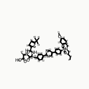 CCCCN(Cc1ccc(OC)cc1)S(=O)(=O)c1ccc(-c2cnc(-c3ccc(C[C@H](NC(=O)c4ccc(C(C)(C)C)s4)C(=O)N[C@H](C)C(=O)O)cc3)nc2)cc1